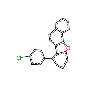 Clc1ccc(-c2cccc3oc4c5ccccc5ccc4c23)cc1